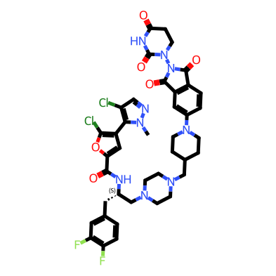 Cn1ncc(Cl)c1-c1cc(C(=O)N[C@@H](Cc2ccc(F)c(F)c2)CN2CCN(CC3CCN(c4ccc5c(c4)C(=O)N(N4CCC(=O)NC4=O)C5=O)CC3)CC2)oc1Cl